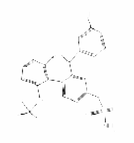 NS(=O)(=O)Cc1ccc2c(c1)C(c1cccc(Cl)c1)Oc1cccc(OC(F)(F)F)c1-2